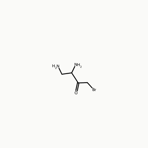 NCC(N)C(=O)CBr